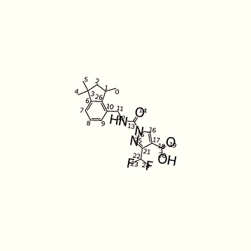 CC1CC(C)(C)c2cccc(CNC(=O)n3cc(C(=O)O)c(C(F)F)n3)c21